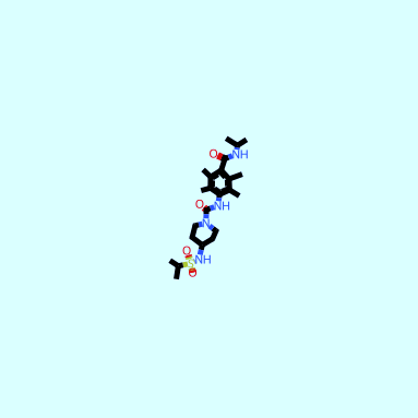 Cc1c(C)c(C(=O)NC(C)C)c(C)c(C)c1NC(=O)N1CCC(NS(=O)(=O)C(C)C)CC1